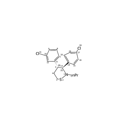 CCCN1SCC[C@H](c2cccc(Cl)c2)[C@H]1c1ccc(Cl)cc1